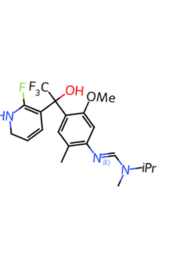 COc1cc(/N=C/N(C)C(C)C)c(C)cc1C(O)(C1=C(F)NCC=C1)C(F)(F)F